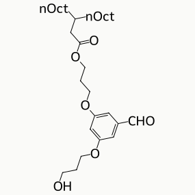 CCCCCCCCC(CCCCCCCC)CC(=O)OCCCOc1cc(C=O)cc(OCCCO)c1